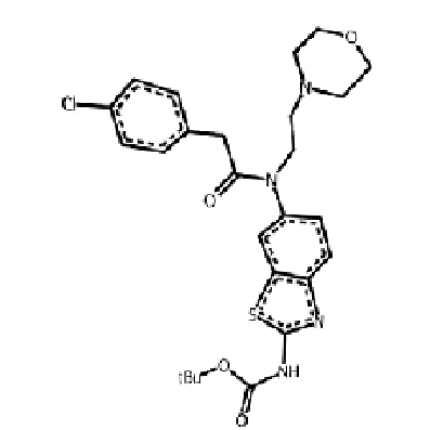 CC(C)(C)OC(=O)Nc1nc2ccc(N(CCN3CCOCC3)C(=O)Cc3ccc(Cl)cc3)cc2s1